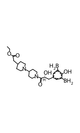 Bc1cc(C[C@@H](O)C(=O)N2CCC(N3CCC(CC(=O)OCC)CC3)CC2)cc(B)c1O